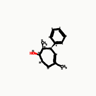 CC1=C[C@@H](c2ccccc2)[C@@H](C)[C@H](O)CC1